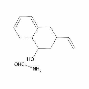 C=CC1Cc2ccccc2C(O)C1.NC=O